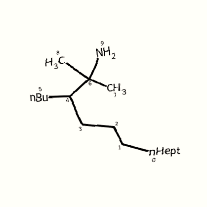 CCCCCCCCCCC(CCCC)C(C)(C)N